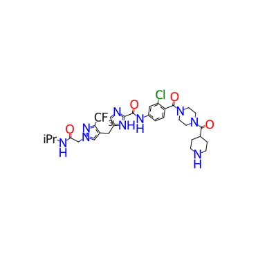 CC(C)NC(=O)Cn1cc(Cc2cnc(C(=O)Nc3ccc(C(=O)N4CCN(C(=O)C5CCNCC5)CC4)c(Cl)c3)[nH]2)c(C(F)(F)F)n1